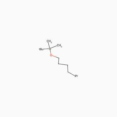 CC(C)CCCCO[Si](C)(C)C(C)(C)C